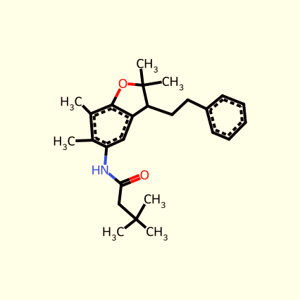 Cc1c(NC(=O)CC(C)(C)C)cc2c(c1C)OC(C)(C)C2CCc1ccccc1